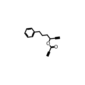 C#CC(=O)OC(C#C)CCCc1ccccc1